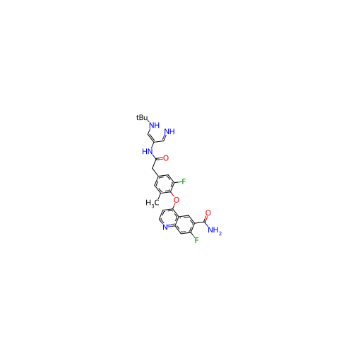 Cc1cc(CC(=O)N/C(C=N)=C/NC(C)(C)C)cc(F)c1Oc1ccnc2cc(F)c(C(N)=O)cc12